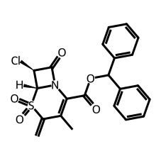 C=C1C(C)=C(C(=O)OC(c2ccccc2)c2ccccc2)N2C(=O)[C@H](Cl)[C@H]2S1(=O)=O